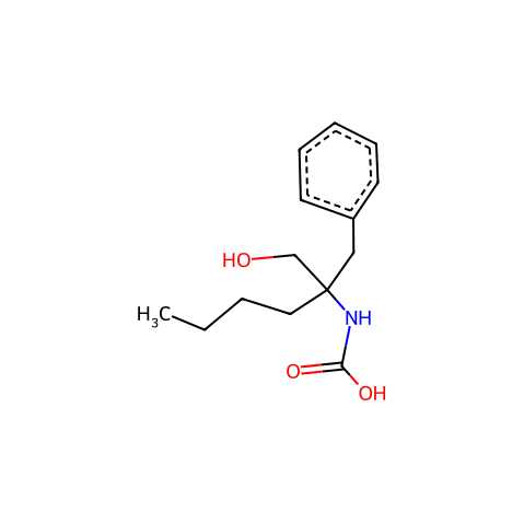 CCCCC(CO)(Cc1ccccc1)NC(=O)O